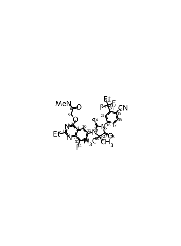 CCc1nc(OCC(=O)NC)c2cc(N3C(=S)N(c4ccc(C#N)c(C(F)(F)CC)c4)C(=O)C3(C)C)cc(F)c2n1